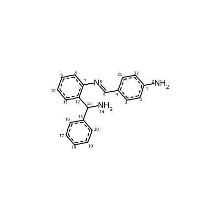 Nc1ccc(/C=N/c2ccccc2C(N)c2ccccc2)cc1